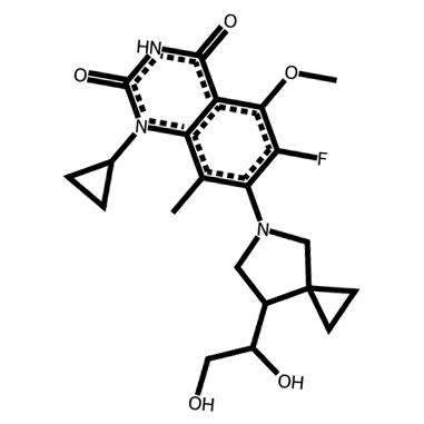 COc1c(F)c(N2CC(C(O)CO)C3(CC3)C2)c(C)c2c1c(=O)[nH]c(=O)n2C1CC1